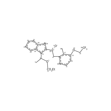 CCOC(=O)OC(C)n1c([S@+]([O-])Cc2nccc(OCC(F)(F)F)c2C)nc2ccccc21